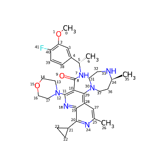 COc1cc([C@H](C)NC(=O)c2c(N3CCOCC3)nc3c(C4CC4)nc(C)cc3c2N2CCN[C@@H](C)CC2)ccc1F